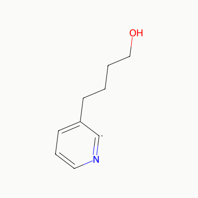 OCCCCc1[c]nccc1